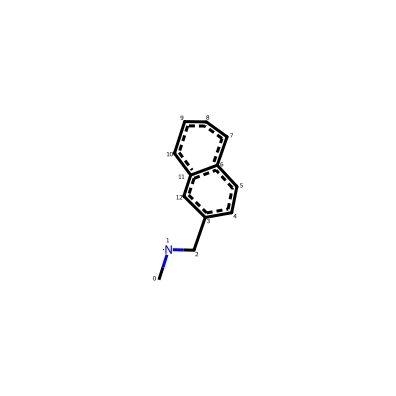 C[N]Cc1ccc2ccccc2c1